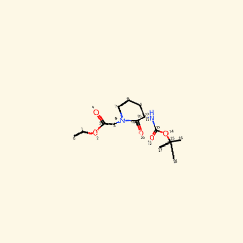 CCOC(=O)CN1CCC[C@H](NC(=O)OC(C)(C)C)C1=O